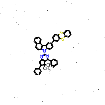 CC1(C)C(c2ccccc2)=Cc2nc(-n3c4ccc(-c5ccc6c(c5)Sc5ccccc5S6)cc4c4c5ccccc5ccc43)nc(-c3ccccc3)c21